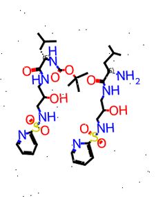 CC(C)C[C@H](N)C(=O)NCC(O)CNS(=O)(=O)c1ccccn1.CC(C)C[C@H](NC(=O)OC(C)(C)C)C(=O)NCC(O)CNS(=O)(=O)c1ccccn1